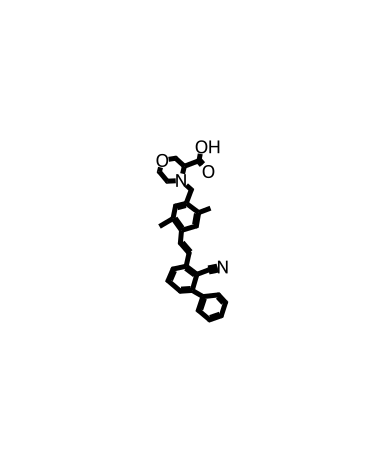 Cc1cc(CN2CCOCC2C(=O)O)c(C)cc1C=Cc1cccc(-c2ccccc2)c1C#N